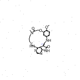 COc1ccc2cc1OCC(=O)N(C)CCCCNc1ncnc3c1/C(=C/N2)C(=O)N3